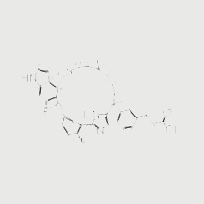 CC1(C)CCCC(C)(c2cccc(CCC(=O)O)c2)c2cnc([nH]2)-c2cc(ccc2F)Oc2c(F)cc3[nH]ccc3c2CSCC1